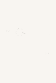 CCC1CCC(C(C)[C@H]2CC[C@H](c3ccc(C#N)c(F)c3F)CC2)CC1